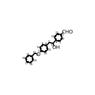 O=Cc1ccc(C(O)Cc2ccc(OCc3ccccc3)cc2)cc1